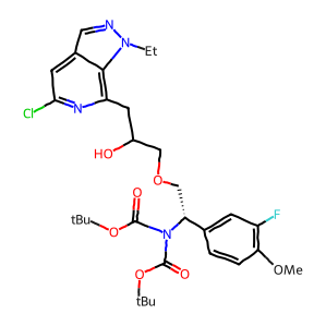 CCn1ncc2cc(Cl)nc(CC(O)COC[C@H](c3ccc(OC)c(F)c3)N(C(=O)OC(C)(C)C)C(=O)OC(C)(C)C)c21